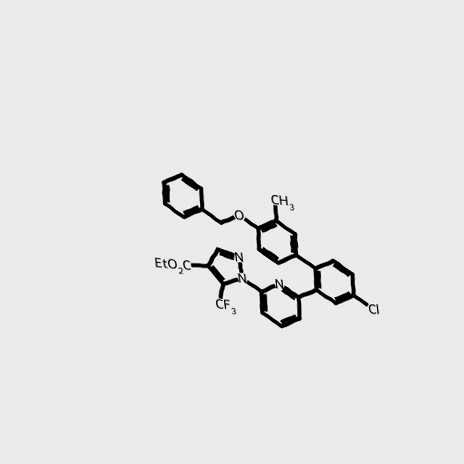 CCOC(=O)c1cnn(-c2cccc(-c3cc(Cl)ccc3-c3ccc(OCc4ccccc4)c(C)c3)n2)c1C(F)(F)F